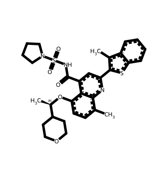 Cc1c(-c2cc(C(=O)NS(=O)(=O)N3CCCC3)c3c(O[C@H](C)C4CCOCC4)ccc(C)c3n2)sc2ccccc12